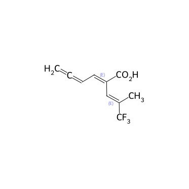 C=C=C/C=C(\C=C(/C)C(F)(F)F)C(=O)O